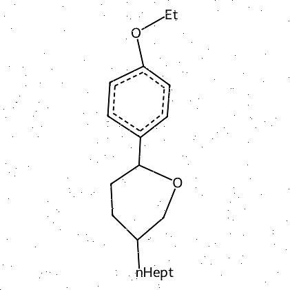 CCCCCCCC1CCC(c2ccc(OCC)cc2)OC1